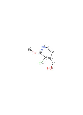 CCOc1nccc(CO)c1Cl